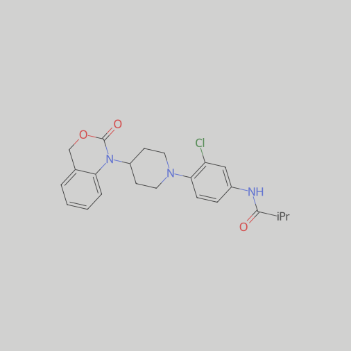 CC(C)C(=O)Nc1ccc(N2CCC(N3C(=O)OCc4ccccc43)CC2)c(Cl)c1